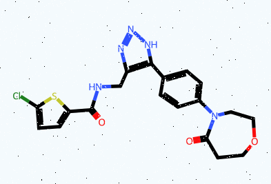 O=C(NCc1nn[nH]c1-c1ccc(N2CCOCCC2=O)cc1)c1ccc(Cl)s1